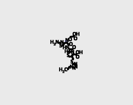 C=CCn1nnnc1SCC1=C(C(=O)O)N2C(=O)C(NC(=O)/C(=N\OCC(=O)O)c3csc(N)n3)[C@H]2SC1